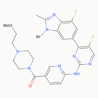 COCCN1CCN(C(=O)c2ccc(Nc3ncc(F)c(-c4cc(F)c5nc(C)n(C(C)C)c5c4)n3)nc2)CC1